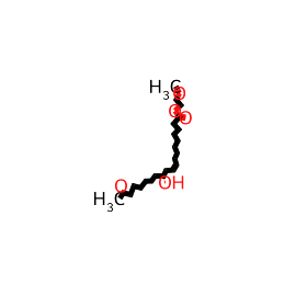 COCCOC(=O)CCCCCCC/C=C\C[C@H](O)CCCCCCC(C)=O